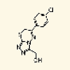 OCc1nnc2n1N=C(c1ccc(Cl)cc1)CS2